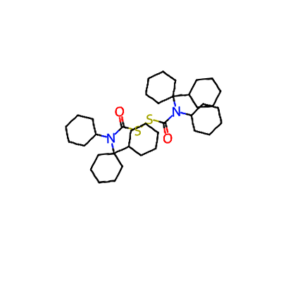 O=C(SSC(=O)N(C1CCCCC1)C1(C2CCCCC2)CCCCC1)N(C1CCCCC1)C1(C2CCCCC2)CCCCC1